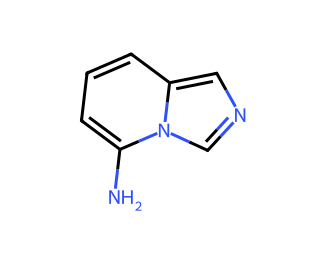 Nc1cccc2cncn12